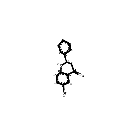 O=C1CC(c2ccccc2)Sc2ccc(Br)cc21